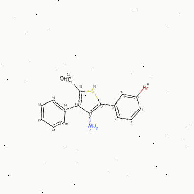 Nc1c(-c2cccc(Br)c2)sc(C=O)c1-c1ccccc1